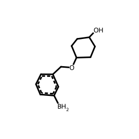 Bc1cccc(COC2CCC(O)CC2)c1